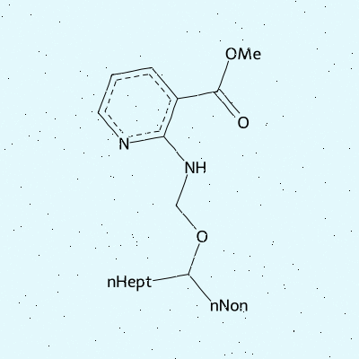 CCCCCCCCCC(CCCCCCC)OCNc1ncccc1C(=O)OC